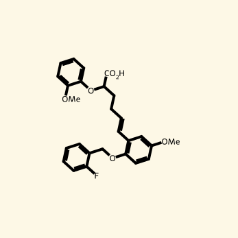 COc1ccc(OCc2ccccc2F)c(C=CCCC(Oc2ccccc2OC)C(=O)O)c1